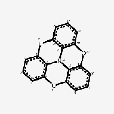 c1cc2c3c(c1)Oc1cccc4c1N3c1c(cccc1O4)O2